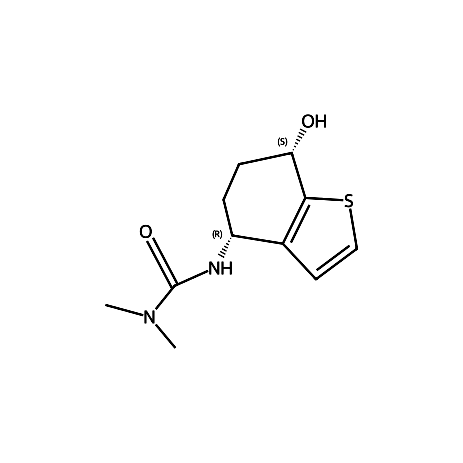 CN(C)C(=O)N[C@@H]1CC[C@H](O)c2sccc21